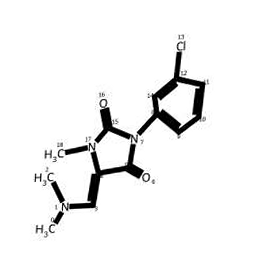 CN(C)C=C1C(=O)N(c2cccc(Cl)c2)C(=O)N1C